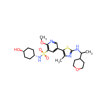 COc1ncc(-c2sc(NC(C)C3CCOCC3)nc2C)cc1S(=O)(=O)N[C@H]1CC[C@H](O)CC1